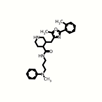 Cc1ccccc1-c1nc(CC2CNCCC2C(=O)NCCCN(C)c2ccccc2)c(C)o1